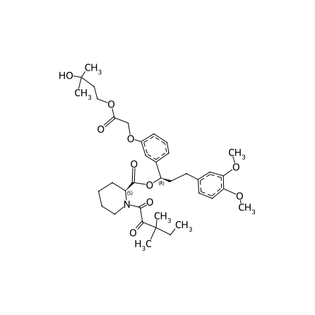 CCC(C)(C)C(=O)C(=O)N1CCCC[C@H]1C(=O)O[C@H](CCc1ccc(OC)c(OC)c1)c1cccc(OCC(=O)OCCC(C)(C)O)c1